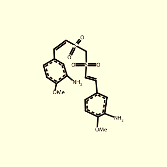 COc1ccc(/C=C\S(=O)(=O)CS(=O)(=O)/C=C/c2ccc(OC)c(N)c2)cc1N